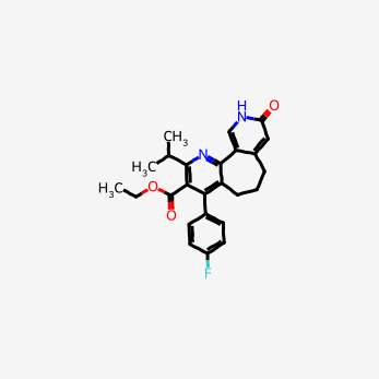 CCOC(=O)c1c(C(C)C)nc2c(c1-c1ccc(F)cc1)CCCc1cc(=O)[nH]cc1-2